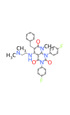 CN(C)CCNc1c(Cc2ccccc2)c(=O)n(C)c2c1c(=O)n(-c1ccc(F)cc1)c(=O)n2-c1ccc(F)cc1